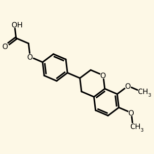 COc1ccc2c(c1OC)OCC(c1ccc(OCC(=O)O)cc1)C2